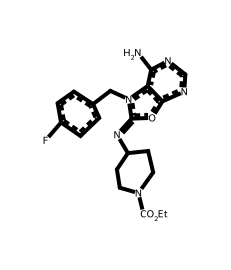 CCOC(=O)N1CCC(/N=c2\oc3ncnc(N)c3n2Cc2ccc(F)cc2)CC1